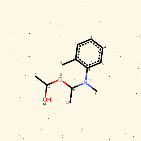 Cc1ccccc1N(C)C(C)OC(C)O